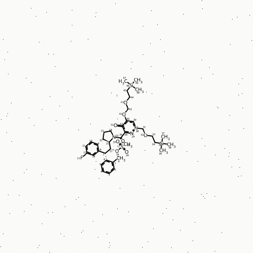 Cc1ccccc1[C@H](c1cccc(F)c1)[C@@H](OS(C)(=O)=O)[C@H]1CCCN1C(=O)c1nn(COCC[Si](C)(C)C)cc(OCOCC[Si](C)(C)C)c1=O